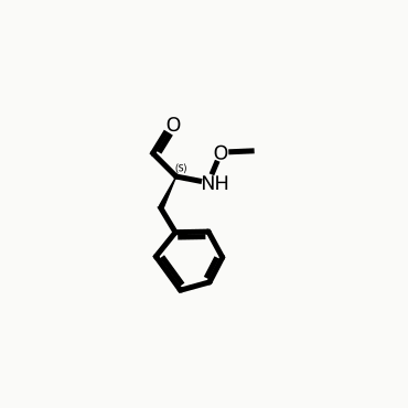 CON[C@H](C=O)Cc1ccccc1